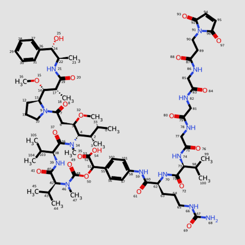 CC[C@H](C)[C@@H]([C@@H](CC(=O)N1CCC[C@H]1[C@H](OC)[C@@H](C)C(=O)N[C@H](C)[C@@H](O)c1ccccc1)OC)N(C)C(=O)[C@@H](NC(=O)[C@H](C(C)C)N(C)C(=O)OC(C(=O)O)c1ccc(NC(=O)[C@H](CCCNC(N)=O)NC(=O)[C@@H](NC(=O)CNC(=O)CNC(=O)CNC(=O)CCN2C(=O)C=CC2=O)C(C)C)cc1)C(C)C